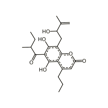 C=C(C)C(O)Cc1c(O)c(C(=O)C(C)CC)c(O)c2c(CCC)cc(=O)oc12